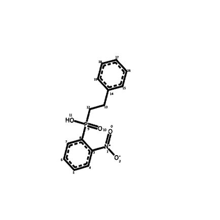 O=[N+]([O-])c1ccccc1P(=O)(O)CCc1ccccc1